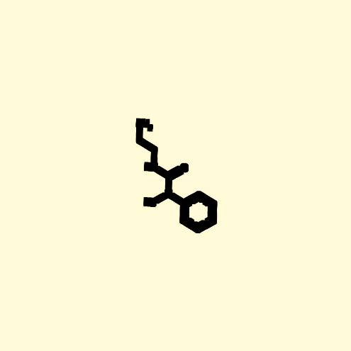 NCCNC(=O)N(S)c1ccccc1